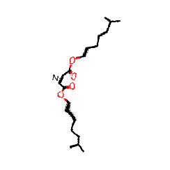 CC(C)CCCCCOC(=O)/C=C\C(=O)OCCCCCC(C)C.[Na]